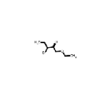 CCOCC(=O)C(Br)CC